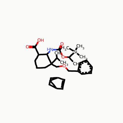 C1=CC2CCC1C2.CC(C)C1(COCc2ccccc2)CCCC(C(=O)O)C1NC(=O)OC(C)[Si](C)(C)C